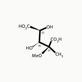 CO[C@](C)(C(=O)O)[C@H](O)[C@H](O)C(=O)O